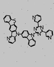 c1cncc(-c2nc(-c3cccnc3)nc(-n3c4ccccc4c4cc(-n5c6cc7sc8ccccc8c7cc6c6ncccc65)ccc43)n2)c1